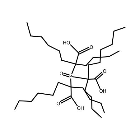 CCCCCCC(CCCC)(C(=O)O)P(=O)(C(CCCC)(CCCCCC)C(=O)O)C(CCCC)(CCCCCC)C(=O)O